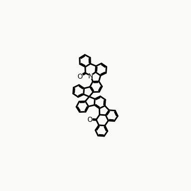 O=C1c2ccccc2-c2cccc3c2C1c1c-3ccc2c1-c1ccccc1C21c2ccccc2-c2c1ccc1c3cccc4c5ccccc5c(=O)n(c21)c43